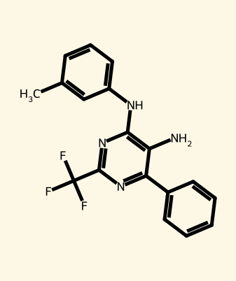 Cc1cccc(Nc2nc(C(F)(F)F)nc(-c3ccccc3)c2N)c1